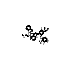 COc1c(Oc2cc(C(F)(F)F)c(F)cc2-c2cc(OCc3ccccc3)c3c(NCCN(C)C)nccc3n2)ccc(F)c1F